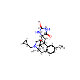 Cc1ccc2c(c1)[C@]13CCN(CC4CC4)[C@H](C2)[C@@H]1CC[C@@]1(C3)NC(=O)NC1=O